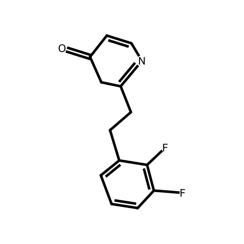 O=C1C=CN=C(CCc2cccc(F)c2F)C1